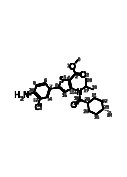 COC(=O)c1sc(-c2ccc(N)c(Cl)c2)cc1N(C(=O)[C@H]1CC[C@H](C)CC1)C(C)C